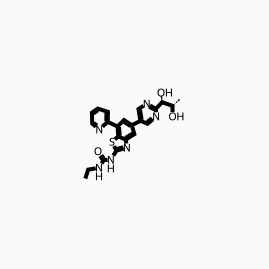 CCNC(=O)Nc1nc2cc(-c3cnc([C@H](O)[C@H](C)O)nc3)cc(-c3ccccn3)c2s1